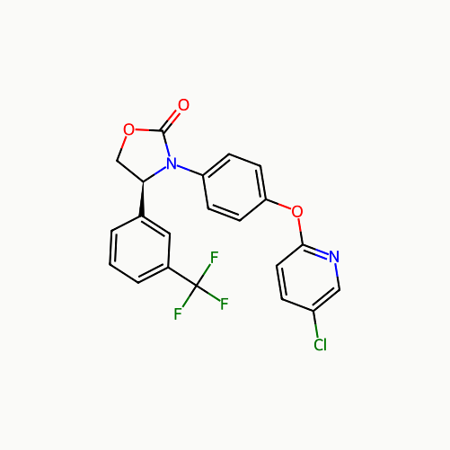 O=C1OC[C@H](c2cccc(C(F)(F)F)c2)N1c1ccc(Oc2ccc(Cl)cn2)cc1